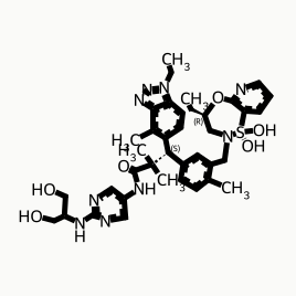 CC[C@@H]1CN(Cc2cc([C@@H](c3ccc4c(nnn4CC)c3C)C(C)(C)C(=O)Nc3cnc(NC(CO)CO)nc3)ccc2C)S(O)(O)c2cccnc2O1